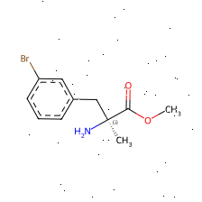 COC(=O)[C@@](C)(N)Cc1cccc(Br)c1